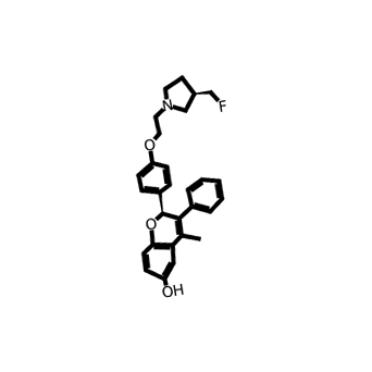 CC1=C(c2ccccc2)[C@H](c2ccc(OCCN3CC[C@@H](CF)C3)cc2)Oc2ccc(O)cc21